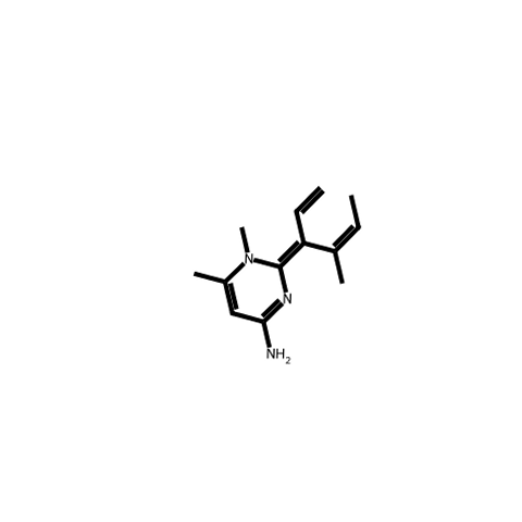 C=CC(/C(C)=C\C)=C1/N=C(N)C=C(C)N1C